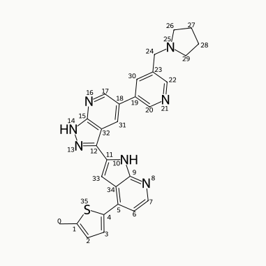 Cc1ccc(-c2ccnc3[nH]c(-c4n[nH]c5ncc(-c6cncc(CN7CCCC7)c6)cc45)cc23)s1